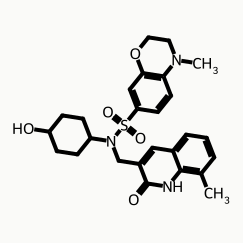 Cc1cccc2cc(CN(C3CCC(O)CC3)S(=O)(=O)c3ccc4c(c3)OCCN4C)c(=O)[nH]c12